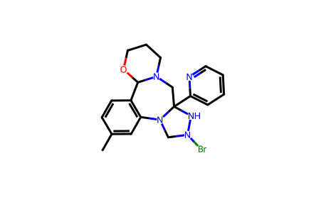 Cc1ccc2c(c1)N1CN(Br)NC1(c1ccccn1)CN1CCCOC21